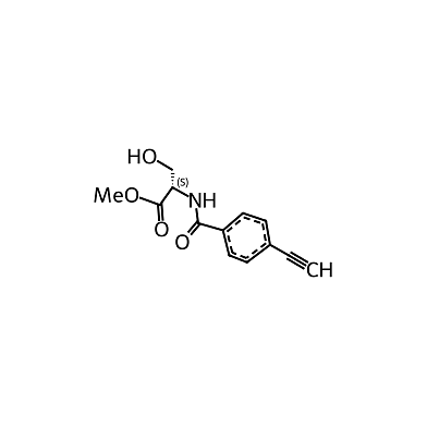 C#Cc1ccc(C(=O)N[C@@H](CO)C(=O)OC)cc1